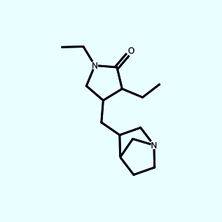 CCC1C(=O)N(CC)CC1CC1CN2CCC1C2